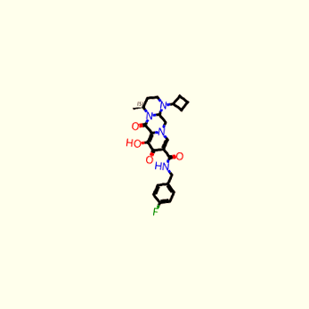 C[C@H]1CCN(C2CCC2)C2Cn3cc(C(=O)NCc4ccc(F)cc4)c(=O)c(O)c3C(=O)N21